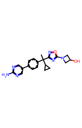 CC(c1ccc(-c2cnc(N)nc2)cc1)(c1noc(N2CC(O)C2)n1)C1CC1